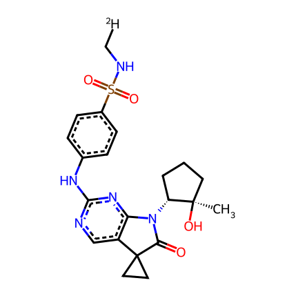 [2H]CNS(=O)(=O)c1ccc(Nc2ncc3c(n2)N([C@@H]2CCC[C@@]2(C)O)C(=O)C32CC2)cc1